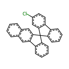 Clc1ccc2c(c1)C1(c3ccccc3-2)c2ccccc2-c2cc3ccccc3cc21